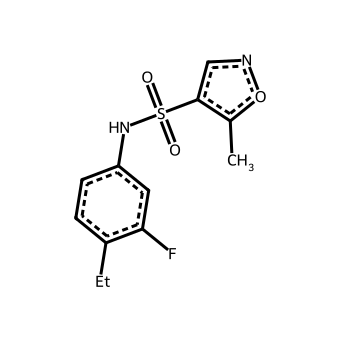 CCc1ccc(NS(=O)(=O)c2cnoc2C)cc1F